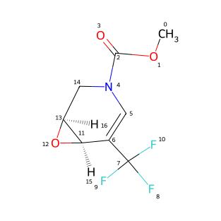 COC(=O)N1C=C(C(F)(F)F)[C@H]2O[C@H]2C1